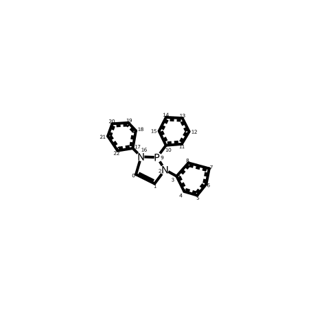 C1=CN(c2ccccc2)P(c2ccccc2)N1c1ccccc1